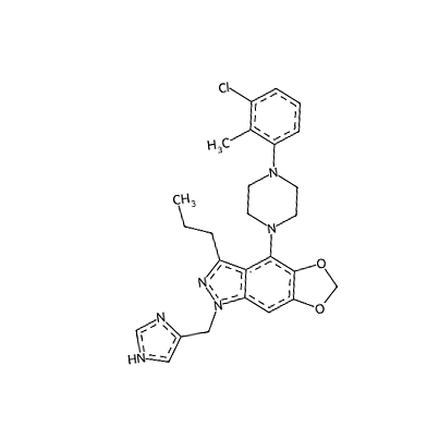 CCCc1nn(Cc2c[nH]cn2)c2cc3c(c(N4CCN(c5cccc(Cl)c5C)CC4)c12)OCO3